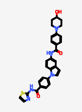 O=C(Nc1ccc2c(ccn2-c2ccc(C(=O)Nc3nccs3)cc2)c1)c1ccc(N2CCC(O)CC2)cc1